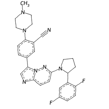 CN1CCN(c2ccc(-c3cnc4ccc(N5CCCC5c5cc(F)ccc5F)nn34)cc2C#N)CC1